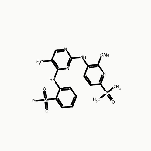 COc1nc(P(C)(C)=O)ccc1Nc1ncc(C(F)(F)F)c(Nc2ccccc2S(=O)(=O)C(C)C)n1